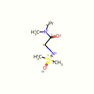 CC(C)N(C)C(=O)CN=S(C)(C)=O